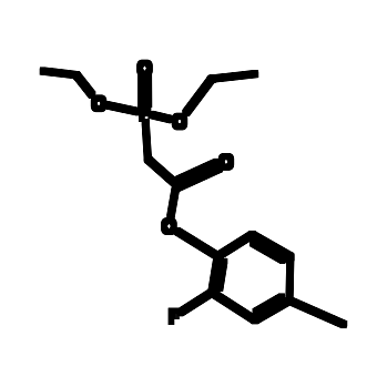 CCOP(=O)(CC(=O)Oc1ccc(C)cc1F)OCC